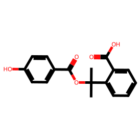 CC(C)(OC(=O)c1ccc(O)cc1)c1ccccc1C(=O)O